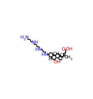 C[C@H](CCC(=O)O)[C@H]1CCC2C3C(CC[C@@]21C)[C@@]1(C)CC[C@H](NCCCNCCCCNCCCN)C[C@H]1C[C@@H]3O